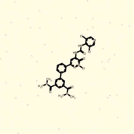 CCn1nc(-c2cccc(-c3cc(C(=O)N(C)C)cc(C(=O)N(C)C)c3)c2)cc(NC(=O)Nc2c(Cl)cncc2Cl)c1=O